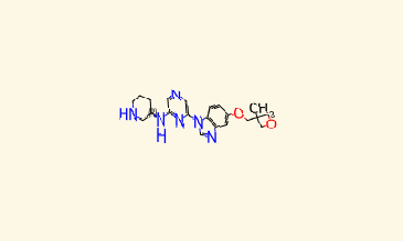 CC1(COc2ccc3c(c2)ncn3-c2cncc(N[C@@H]3CCCNC3)n2)COC1